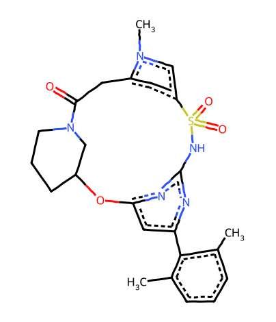 Cc1cccc(C)c1-c1cc2nc(n1)NS(=O)(=O)c1cc(n(C)c1)CC(=O)N1CCCC(C1)O2